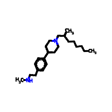 CCCCCCC(C)CN1CCC(c2ccc(CCNC)cc2)CC1